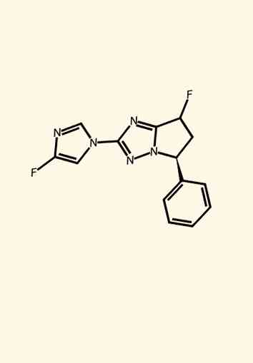 Fc1cn(-c2nc3n(n2)[C@H](c2ccccc2)CC3F)cn1